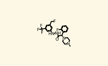 CN1CCN(C(C(=O)NNc2cc(CF)cc(C(F)(F)F)c2)c2ccccc2F)CC1